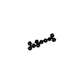 c1ccc(N(c2ccccc2)c2ccc(-c3ccc(-c4ccc(-n5c6ccccc6c6c(-c7ccc(N(c8ccccc8)c8ccccc8)cc7)cccc65)cc4)cc3)cc2)cc1